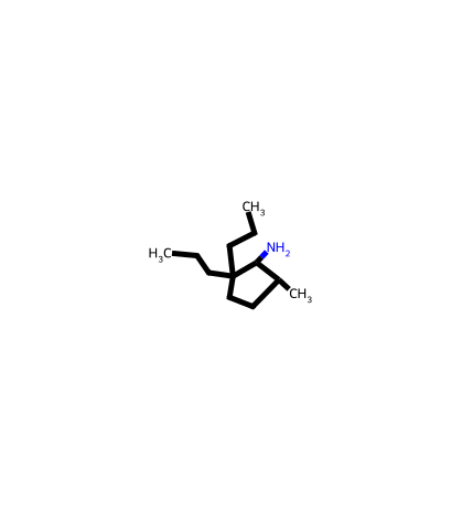 CCCC1(CCC)CCC(C)C1N